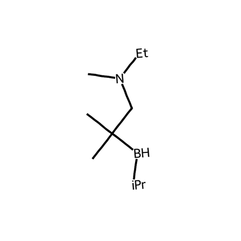 CCN(C)CC(C)(C)BC(C)C